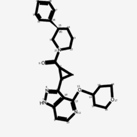 O=C(C1CC1c1n[nH]c2ccnc(OC3CCOCC3)c12)N1CCC[C@H](c2ccccc2)C1